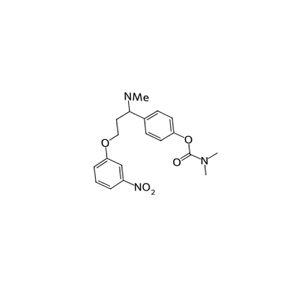 CNC(CCOc1cccc([N+](=O)[O-])c1)c1ccc(OC(=O)N(C)C)cc1